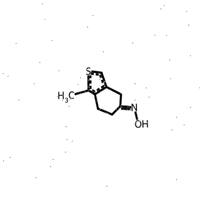 Cc1scc2c1CCC(=NO)C2